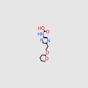 O=C(O)Nc1cnc(CCOC2CCCCO2)cn1